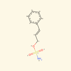 NS(=O)(=O)OCC=Cc1ccccc1